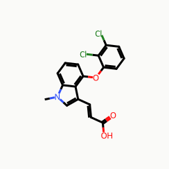 Cn1cc(/C=C/C(=O)O)c2c(Oc3cccc(Cl)c3Cl)cccc21